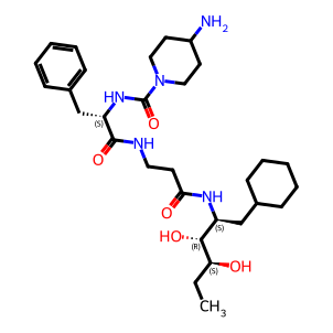 CC[C@H](O)[C@H](O)[C@H](CC1CCCCC1)NC(=O)CCNC(=O)[C@H](Cc1ccccc1)NC(=O)N1CCC(N)CC1